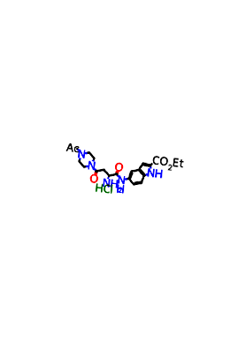 CCOC(=O)c1cc2cc(NC(=O)[C@@H](N)CC(=O)N3CCN(C(C)=O)CC3)ccc2[nH]1.Cl